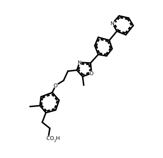 Cc1cc(OCCc2nc(-c3ccc(-c4ccccn4)cc3)oc2C)ccc1CCC(=O)O